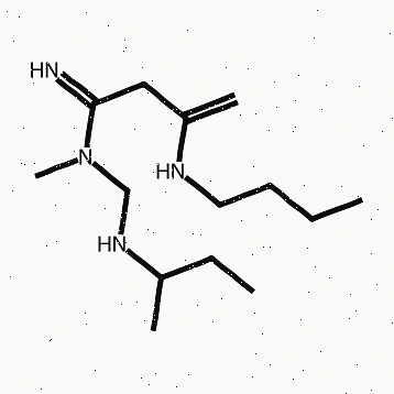 C=C(CC(=N)N(C)CNC(C)CC)NCCCC